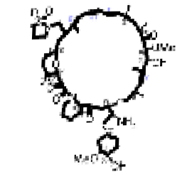 CO[C@@H]1C[C@H](C[C@@H](N)[C@@H]2CC[C@H](C)/C=C(\C)[C@@H](O)[C@@H](OC)C(=O)[C@H](C)C[C@H](C)/C=C/C=C/C=C(\C)C(CN3CCCS3(=O)=O)C[C@@H]3CC[C@@H](C)[C@@](O)(O3)C(=O)C(=O)N3CCCC[C@H]3C(=O)C2)CC[C@H]1O